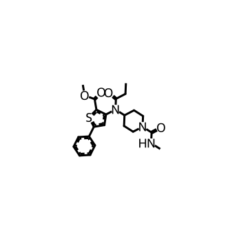 CCC(=O)N(c1cc(-c2ccccc2)sc1C(=O)OC)C1CCN(C(=O)NC)CC1